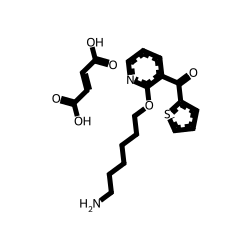 NCCCCCCOc1ncccc1C(=O)c1cccs1.O=C(O)C=CC(=O)O